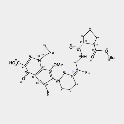 COc1c(N2CCC/C(=C(\F)CNC(=O)[C@@H]3CCCN3C(=O)OC(C)(C)C)C2)c(F)cc2c(=O)c(C(=O)O)cn(C3CC3)c12